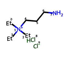 CC[N+](CC)(CC)CCCN.Cl.[Cl-]